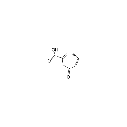 O=C1C=CSC=C(C(=O)O)C1